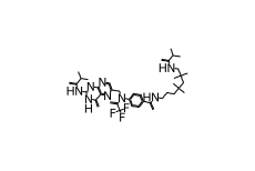 C=C(NCCCC(C)(C)CC(C)(C)CNC(=C)C(C)C)c1ccc(N(Cc2cnc3c(n2)C(=C)NC(NC(=C)C(C)C)=N3)C(=C)C(F)(F)F)cc1